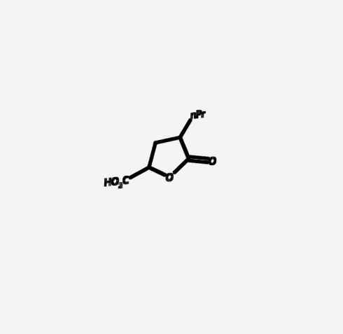 CCCC1CC(C(=O)O)OC1=O